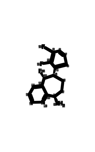 N[C@@H]1CC[C@@H](c2cccc(F)c2F)[C@@H](F)c2cccnc21